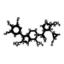 C[C@H]1c2nn(C)c(-c3cc(F)c(F)c(F)c3)c2CCN1C(=O)c1cnn(C)c1[C@@H]1C[C@@H]1F